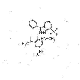 CNc1cc(NC)c(Cn2nc3c(C(F)(F)F)cccc3c2-c2ccccc2)c(NC)c1